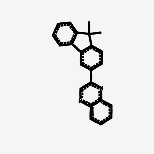 CC1(C)c2ccccc2-c2cc(-c3cnc4ccccc4n3)ccc21